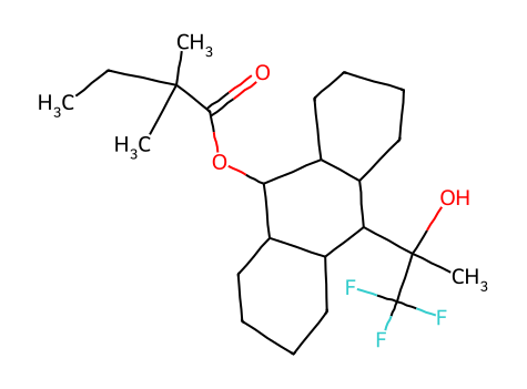 CCC(C)(C)C(=O)OC1C2CCCCC2C(C(C)(O)C(F)(F)F)C2CCCCC21